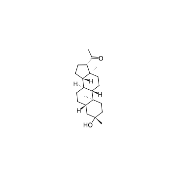 CC(=O)[C@H]1CC[C@H]2[C@@H]3CC[C@H]4C[C@@](C)(O)CC[C@]4(C)[C@H]3CC[C@]12C